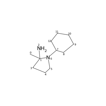 CC1(N)CCCN1C1CCCCC1